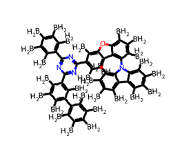 Bc1c(B)c(B)c(-c2nc(-c3c(B)c(B)c(B)c(-c4c(B)c(B)c(B)c(B)c4B)c3B)nc(-c3c(B)c(B)c4c(oc5c(B)c(B)c(B)c(-n6c7c(B)c(B)c(B)c(B)c7c7c(B)c(B)c(B)c(B)c76)c54)c3B)n2)c(B)c1B